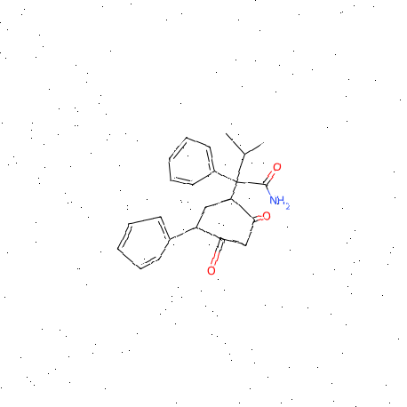 CC(C)C(C(N)=O)(c1ccccc1)C1CC(c2ccccc2)C(=O)CC1=O